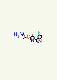 Cc1cc(-c2ccnc3ccc(F)cc23)ncc1OC[C@@H](C)CC(C)(C)N